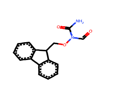 NC(=O)N(C=O)OCC1c2ccccc2-c2ccccc21